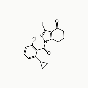 O=C1CCCc2c1c(I)nn2C(=O)c1c(Cl)cccc1C1CC1